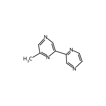 Cc1cncc(-c2cnccn2)n1